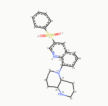 O=S(=O)(c1ccccc1)c1cnc2c(N3CCCC4NCCCC43)cccc2c1